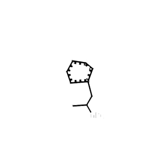 CCCCC(C)[C]c1ccccc1